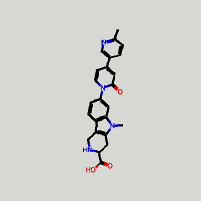 Cc1ccc(-c2ccn(-c3ccc4c5c(n(C)c4c3)CC(C(=O)O)NC5)c(=O)c2)cn1